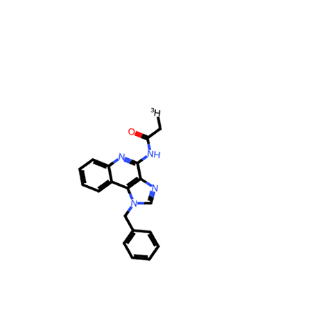 [3H]CC(=O)Nc1nc2ccccc2c2c1ncn2Cc1ccccc1